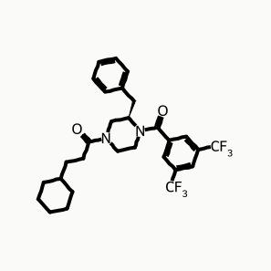 O=C(CCC1CCCCC1)N1CCN(C(=O)c2cc(C(F)(F)F)cc(C(F)(F)F)c2)[C@H](Cc2ccccc2)C1